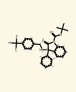 CC(C)(C)OC(=O)N1C(=O)[C@@](NCc2ccc(C(F)(F)F)cc2)(c2ccccc2)c2ccccc21